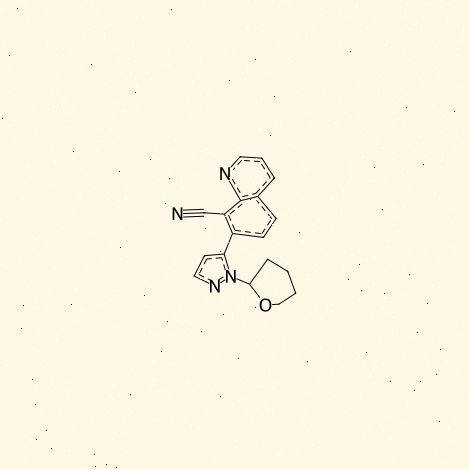 N#Cc1c(-c2ccnn2C2CCCCO2)ccc2cccnc12